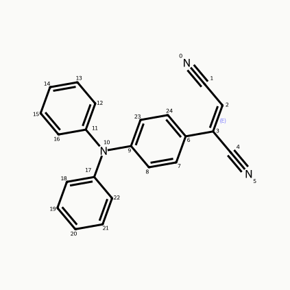 N#C/C=C(/C#N)c1ccc(N(c2ccccc2)c2ccccc2)cc1